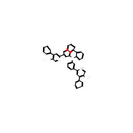 Cc1cnc(-c2cccc(N(c3cccc(-c4cc(-c5ccccc5)c(C)cn4)c3)c3ccccc3-c3ccccc3)c2)cc1-c1ccccc1